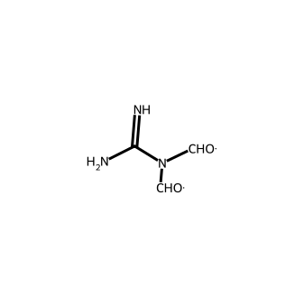 N=C(N)N([C]=O)[C]=O